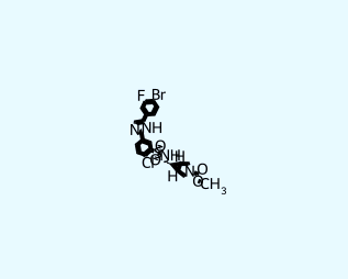 COC(=O)N1C[C@@H]2[C@@H](CNS(=O)(=O)c3cc(-c4ncc(-c5ccc(Br)c(F)c5)[nH]4)ccc3Cl)[C@@H]2C1